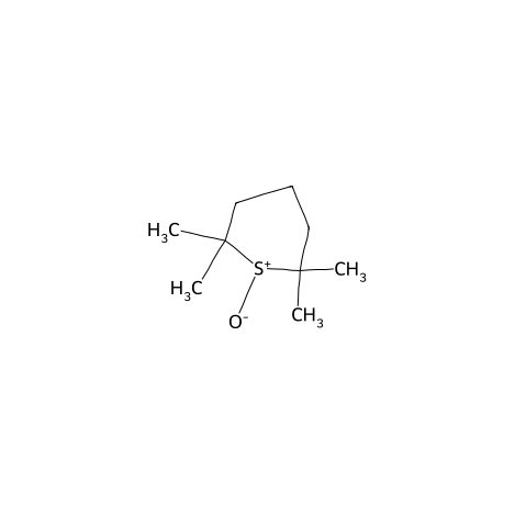 CC1(C)CCCC(C)(C)[S+]1[O-]